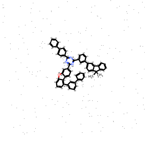 CC1(C)c2ccccc2-c2cc(-c3cccc(-c4nc(-c5ccc(-c6ccccc6)cc5)nc(-c5ccc6c(c5)oc5cccc(-c7cccc(-c8ccccc8)c7)c56)n4)c3)ccc21